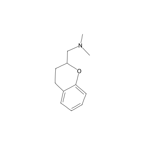 CN(C)CC1CCc2ccccc2O1